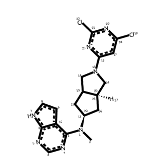 CN(c1ncnc2[nH]ccc12)[C@H]1CC2CN(c3cc(Cl)nc(Cl)n3)C[C@H]2C1